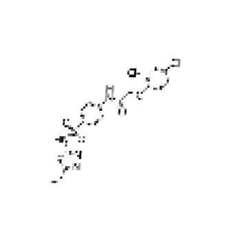 CCc1nnc(NS(=O)(=O)c2ccc(NC(=O)COc3ccc(Cl)cc3Cl)cc2)s1